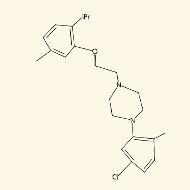 Cc1ccc(C(C)C)c(OCCN2CCN(c3cc(Cl)ccc3C)CC2)c1